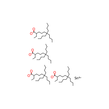 CCCCC(CCCC)(CCCC)CCCC(CC)C(=O)[O-].CCCCC(CCCC)(CCCC)CCCC(CC)C(=O)[O-].CCCCC(CCCC)(CCCC)CCCC(CC)C(=O)[O-].CCCCC(CCCC)(CCCC)CCCC(CC)C(=O)[O-].[Sn+4]